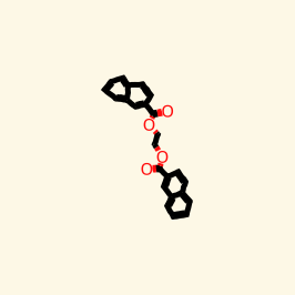 O=C(OCCOC(=O)c1ccc2ccccc2c1)c1ccc2ccccc2c1